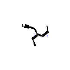 C/C=C\C(=C/C)CC#N